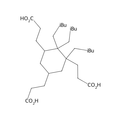 CCC(C)CC1(CCC(=O)O)CC(CCC(=O)O)CC(CCC(=O)O)C1(CC(C)CC)CC(C)CC